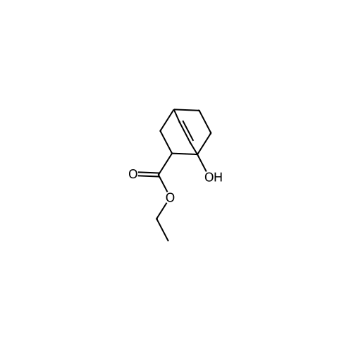 CCOC(=O)C1CC2C=CC1(O)CC2